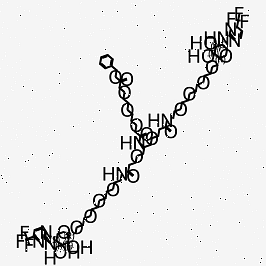 O=C(CCOCC(COCCC(=O)NCCOCCOCCOCCOC[C@H]1OC[C@H](Nc2nccc(C(F)(F)F)n2)[C@@H](O)[C@H]1O)NC(=O)COCCOCCOCC(=O)OCc1ccccc1)NCCOCCOCCOCCOC[C@H]1OC[C@H](Nc2nccc(C(F)(F)F)n2)[C@@H](O)[C@H]1O